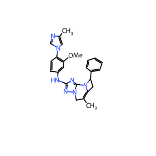 COc1cc(Nc2nc3n(n2)CC(C)=C2CC(c4ccccc4)N23)ccc1-n1cnc(C)c1